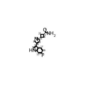 NC(=O)[C@H]1C[C@@H](n2cc(-c3c[nH]c4cc(F)ccc34)cn2)C1